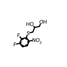 O=[N+]([O-])c1ccc(F)c(F)c1SCC(O)CO